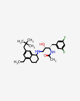 CCc1cc(CC(C)(C)C)cc2c1CCCC2NC[C@H](O)[C@H](Cc1cc(F)cc(F)c1)NC(C)=O